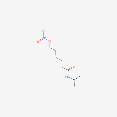 CC(C)NC(=O)CCCCCO[N+](=O)[O-]